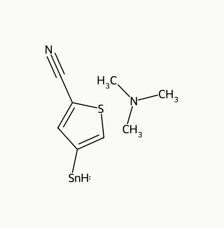 CN(C)C.N#Cc1c[c]([SnH])cs1